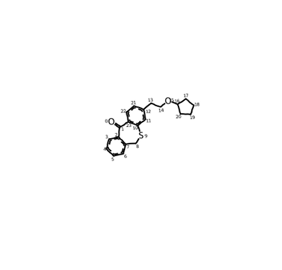 O=C1c2ccccc2CSc2cc(CCOC3CCCC3)ccc21